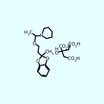 CC(OCCC1(C)Oc2ccccc2O1)N1CCCCC1.O=C(O)CC(O)(CC(=O)O)C(=O)O